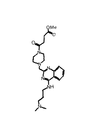 COC(=O)CCC(=O)N1CCN(Cc2nc(NCCCN(C)C)c3ccccc3n2)CC1